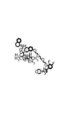 CN[C@@H](C)C(=O)N[C@H](C(=O)N1Cc2cc(OCCOCCOCCOc3c(-c4csc(N5CCOCC5)n4)ccc(F)c3F)ccc2C[C@H]1C(=O)N[C@@H]1CCCc2ccccc21)C(C)(C)C